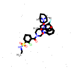 CCNS(=O)(=O)c1cccc(C(=O)N2CCC(CCN3[C@@H]4CC[C@H]3CC(n3c(C)nc5ccccc53)C4)(c3cccc(F)c3)CC2)c1Cl